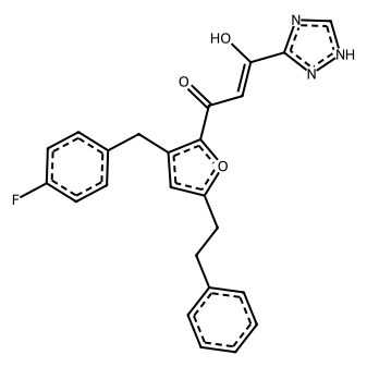 O=C(C=C(O)c1nc[nH]n1)c1oc(CCc2ccccc2)cc1Cc1ccc(F)cc1